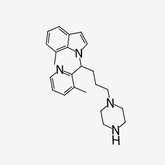 Cc1cccnc1C(CCCN1CCNCC1)n1ccc2cccc(C)c21